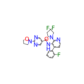 O=C(Nc1c(-c2ccccc2F)ccnc1N1CCC(F)(F)C1)c1cnc(N2CCCO2)nc1